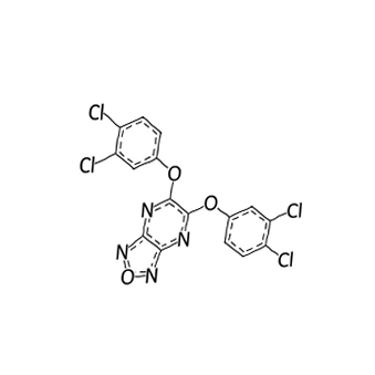 Clc1ccc(Oc2nc3nonc3nc2Oc2ccc(Cl)c(Cl)c2)cc1Cl